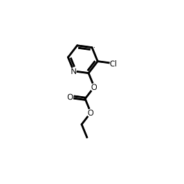 CCOC(=O)Oc1ncc[c]c1Cl